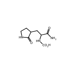 NC(=O)C(CC1CCNC1=O)NC(=O)O